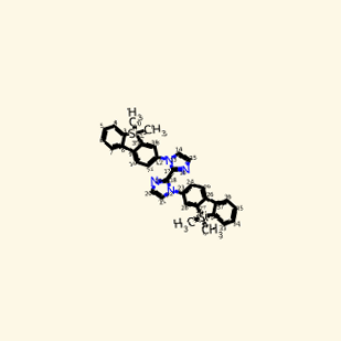 C[Si]1(C)c2ccccc2-c2ccc(-n3ccnc3-c3nccn3-c3ccc4c(c3)[Si](C)(C)c3ccccc3-4)cc21